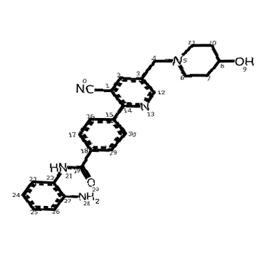 N#Cc1cc(CN2CCC(O)CC2)cnc1-c1ccc(C(=O)Nc2ccccc2N)cc1